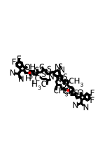 CCCCC(CC)Cn1c2c3sc(-c4cc5sc(/C=C6\C(=O)c7cc(F)c(F)cc7C6=C(C#N)C#N)cc5s4)c(C)c3sc2c2c3nsnc3c3c4sc5c(C)c(-c6cc7sc(/C=C8\C(=O)c9cc(F)c(F)cc9C8=C(C#N)C#N)cc7s6)sc5c4n(CC(CC)CCCC)c3c21